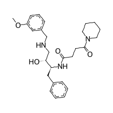 COc1cccc(CNC[C@@H](O)[C@H](Cc2ccccc2)NC(=O)CCC(=O)N2CCCCC2)c1